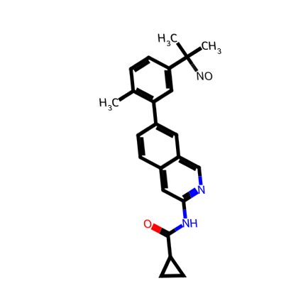 Cc1ccc(C(C)(C)N=O)cc1-c1ccc2cc(NC(=O)C3CC3)ncc2c1